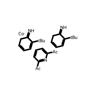 CC(=O)c1cccc(C(C)=O)n1.CC(C)(C)C1=CC=CCC1=N.CC(C)(C)C1=CC=CCC1=N.[Co]